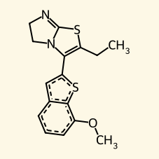 CCC1=C(c2cc3cccc(OC)c3s2)N2CCN=C2S1